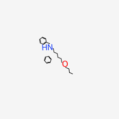 CCCCOCCCCCCNCc1ccccc1.c1ccccc1